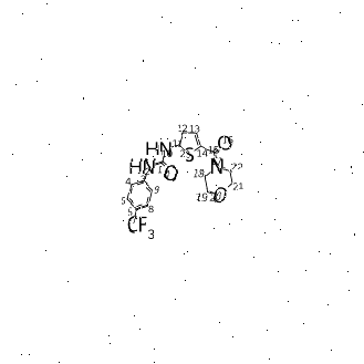 O=C(Nc1ccc(C(F)(F)F)cc1)NC1CC=C(C(=O)N2CCOCC2)S1